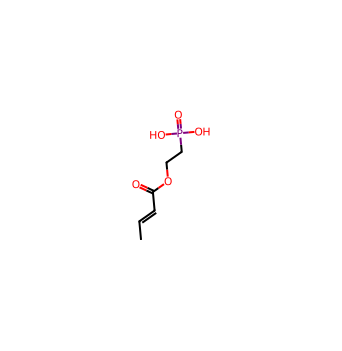 CC=CC(=O)OCCP(=O)(O)O